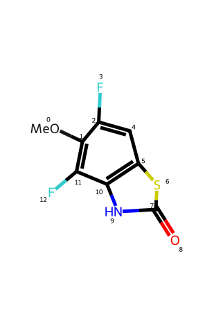 COc1c(F)cc2sc(=O)[nH]c2c1F